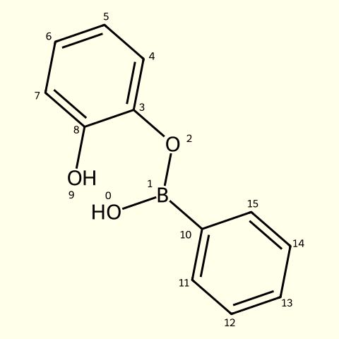 OB(Oc1ccccc1O)c1ccccc1